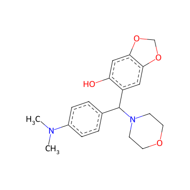 CN(C)c1ccc(C(c2cc3c(cc2O)OCO3)N2CCOCC2)cc1